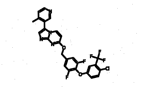 Cc1ccncc1-c1cnc2nc(OCc3cc(F)c(Oc4ccc(Cl)c(C(F)(F)F)c4)c(F)c3)ccn12